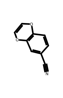 N#Cc1[c]c2c(cc1)OC=CO2